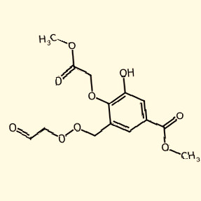 COC(=O)COc1c(O)cc(C(=O)OC)cc1COOCC=O